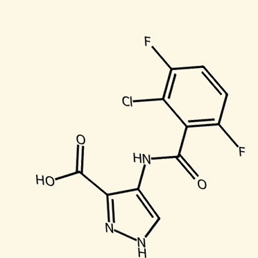 O=C(O)c1n[nH]cc1NC(=O)c1c(F)ccc(F)c1Cl